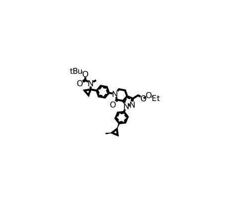 CCOOCc1nn(-c2ccc([C@H]3C[C@H]3C)cc2)c2c1CCN(c1ccc(C3(N(C)C(=O)OC(C)(C)C)CC3)cc1)C2=O